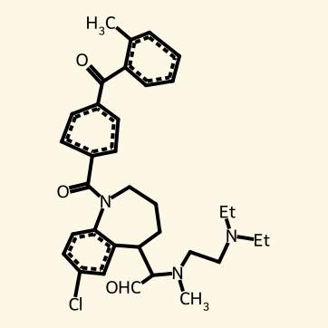 CCN(CC)CCN(C)C(C=O)C1CCCN(C(=O)c2ccc(C(=O)c3ccccc3C)cc2)c2ccc(Cl)cc21